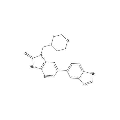 O=c1[nH]c2ncc(-c3ccc4[nH]ccc4c3)cc2n1CC1CCOCC1